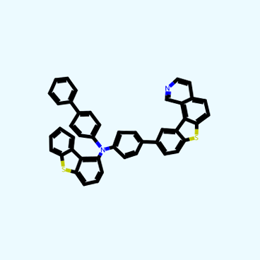 c1ccc(-c2ccc(N(c3ccc(-c4ccc5sc6ccc7ccncc7c6c5c4)cc3)c3cccc4sc5ccccc5c34)cc2)cc1